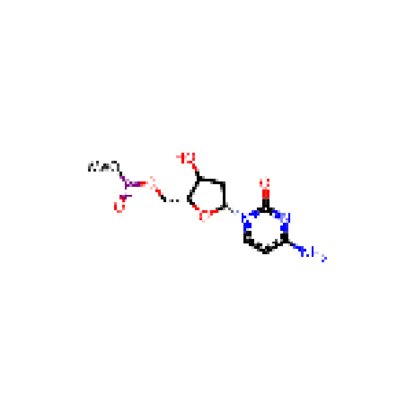 CO[PH](=O)OC[C@H]1O[C@@H](n2ccc(N)nc2=O)CC1O